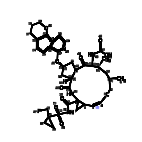 C[C@H]1CC/C=C\C2CC2(C(=O)NS(=O)(=O)C2(CF)CC2)NC(=O)[C@@H]2C[C@@H](Oc3nccc4c5c(ccc34)CCCO5)CN2C(=O)[C@@H](NC(=O)O)[C@H](C)C1